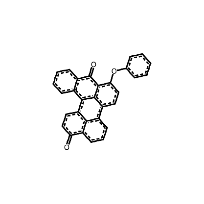 O=c1ccc2c3c1cccc3c1ccc(Oc3ccccc3)c3c(=O)c4ccccc4c2c31